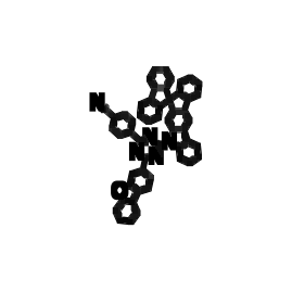 N#Cc1ccc(-c2nc(-c3ccc4c(c3)oc3ccccc34)nc(-n3c4ccccc4c4cc5c(cc43)C3(c4ccccc4-c4ccccc43)c3ccccc3-5)n2)cc1